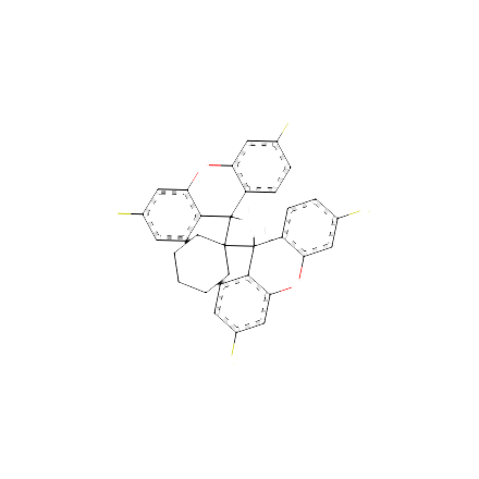 CC1(C2(C3(C)c4ccc(S)cc4Oc4cc(S)ccc43)CCCCC2)c2ccc(S)cc2Oc2cc(S)ccc21